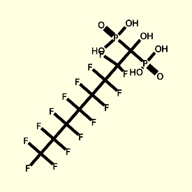 O=P(O)(O)C(O)(C(F)(F)C(F)(F)C(F)(F)C(F)(F)C(F)(F)C(F)(F)C(F)(F)F)P(=O)(O)O